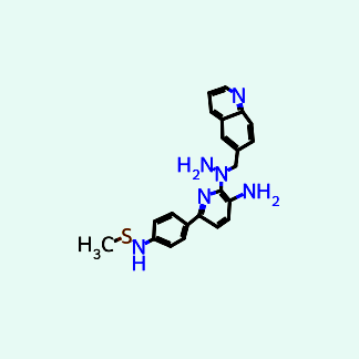 CSNc1ccc(-c2ccc(N)c(N(N)Cc3ccc4ncccc4c3)n2)cc1